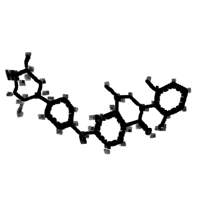 Cc1cccc(Cl)c1N1CN(C)c2nc(Nc3ccc(N4C[C@H](C)NC[C@H]4C)cc3)ncc2C1=O